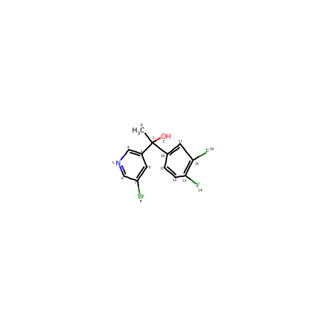 CC(O)(c1cncc(Br)c1)c1ccc(F)c(F)c1